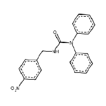 O=C(NCc1ccc([N+](=O)[O-])cc1)N(c1ccccc1)c1ccccc1